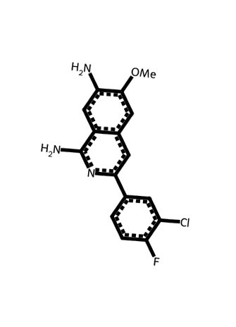 COc1cc2cc(-c3ccc(F)c(Cl)c3)nc(N)c2cc1N